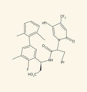 CCCc1cn(C(CC(C)C)C(=O)N[C@@H](CC(=O)O)c2cc(-c3c(C)cccc3C)cc(C)c2F)c(=O)cc1C(F)(F)F